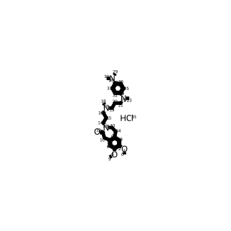 COc1cc2c(cc1OC)CC(=O)N(CCCN(C)CCCN(C)c1ccc(N(C)C)cc1)CC2.Cl